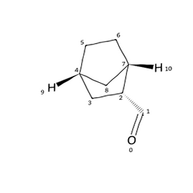 O=[C][C@@H]1C[C@@H]2CC[C@H]1C2